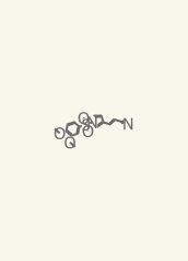 COc1ccc(S(=O)(=O)n2ccc(/C=C/C#N)c2)cc1OC